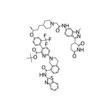 C[C@@H](CCC1CCN(CC(=O)Nc2ccc3c(C4CCC(=O)NC4=O)nn(C)c3c2)CC1)Oc1ccc(-c2ccc(N3CCc4cccc(C(=O)Nc5nc6ccccc6s5)c4C3)nc2C(=O)OC(C)(C)C)c(C(F)(F)F)c1